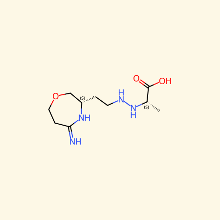 C[C@H](NNCC[C@H]1COCCC(=N)N1)C(=O)O